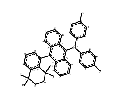 Cc1ccc(N(c2ccc(C)cc2)c2c3ccccc3c(-c3cccc4c3C(C)(C)CCC4(C)C)c3ccccc23)cc1